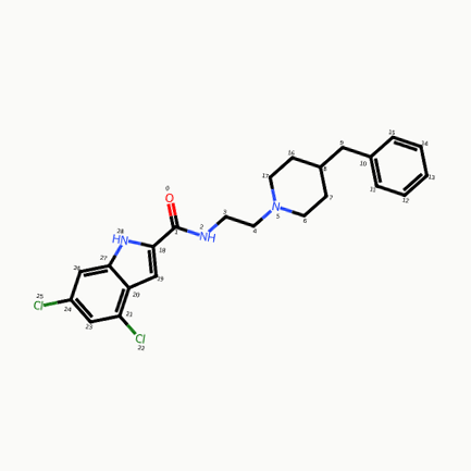 O=C(NCCN1CCC(Cc2ccccc2)CC1)c1cc2c(Cl)cc(Cl)cc2[nH]1